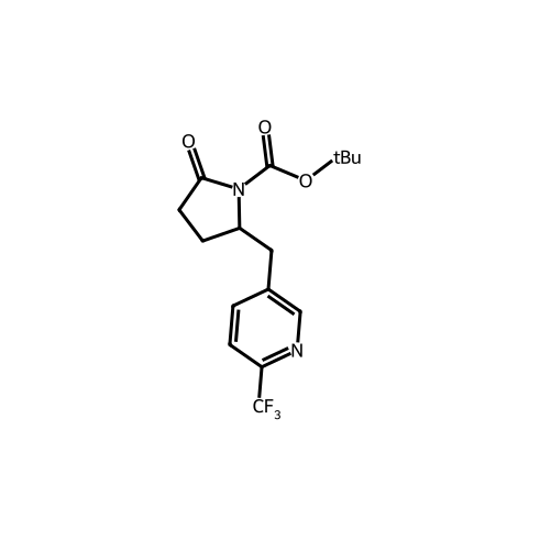 CC(C)(C)OC(=O)N1C(=O)CCC1Cc1ccc(C(F)(F)F)nc1